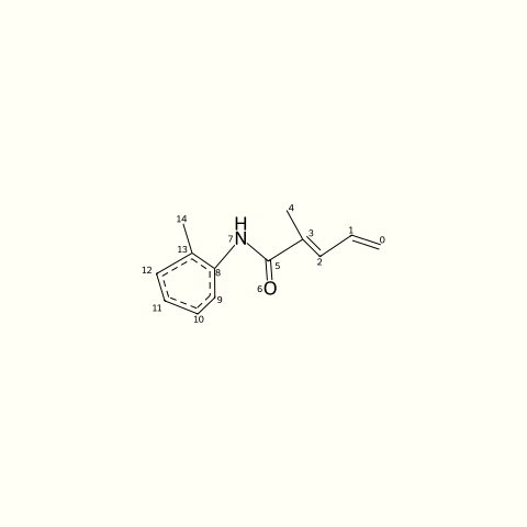 C=C/C=C(\C)C(=O)Nc1ccccc1C